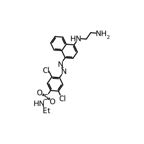 CCNS(=O)(=O)c1cc(Cl)c(N=Nc2ccc(NCCN)c3ccccc23)cc1Cl